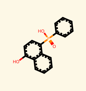 O=P(O)(c1ccccc1)c1ccc(O)c2ccccc12